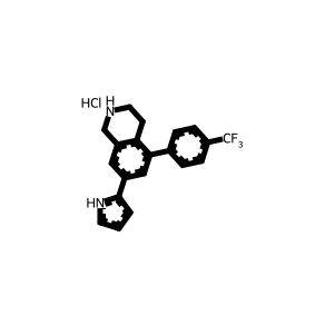 Cl.FC(F)(F)c1ccc(-c2cc(-c3ccc[nH]3)cc3c2CCNC3)cc1